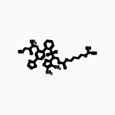 Cc1onc(N(COC(=O)OCCCCON(O)O)S(=O)(=O)c2ccccc2-c2ccc(-c3ncco3)cc2CN(C)C(=O)CC(C)(C)C)c1C